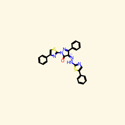 O=C1/C(=N\Nc2ncc(-c3ccccc3)s2)C(c2ccccc2)=NN1c1nc(-c2ccccc2)cs1